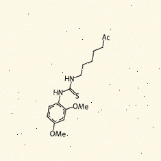 COc1ccc(NC(=S)NCCCCCC(C)=O)c(OC)c1